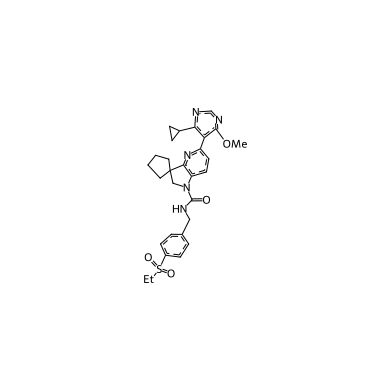 CCS(=O)(=O)c1ccc(CNC(=O)N2CC3(CCCC3)c3nc(-c4c(OC)ncnc4C4CC4)ccc32)cc1